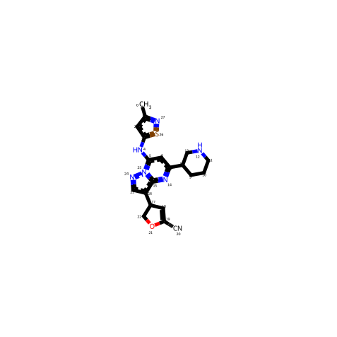 Cc1cc(Nc2cc(C3CCCNC3)nc3c(C4C=C(C#N)OC4)cnn23)sn1